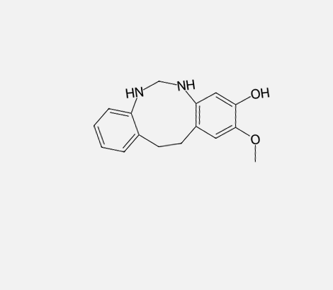 COc1cc2c(cc1O)NCNc1ccccc1CC2